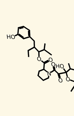 CCC(Cc1cccc(O)c1)C(OC(=O)C1CCCCN1C(=O)C(=O)C1(O)OC(C(C)C)CCC1C)C(C)C